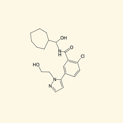 O=C(NC(O)C1CCCCCC1)c1cc(-c2ccnn2CCO)ccc1Cl